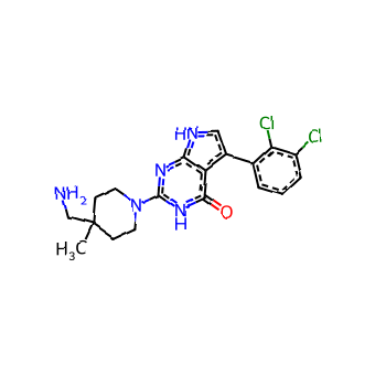 CC1(CN)CCN(c2nc3[nH]cc(-c4cccc(Cl)c4Cl)c3c(=O)[nH]2)CC1